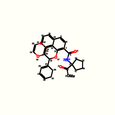 COC(=O)C1(NC(=O)c2ccc3ccccc3c2OC(C2=CC=CCC2)C2=COC=CO2)CCCC1